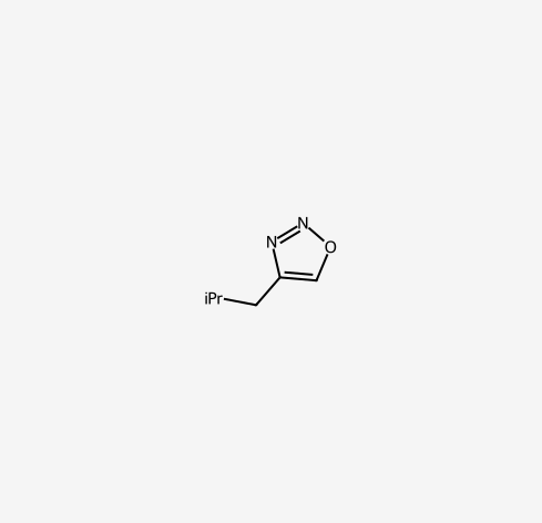 CC(C)Cc1conn1